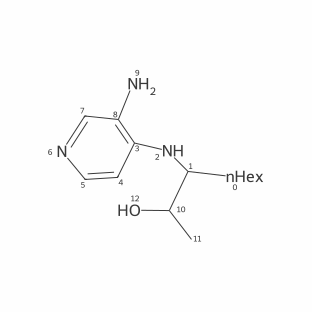 CCCCCCC(Nc1ccncc1N)C(C)O